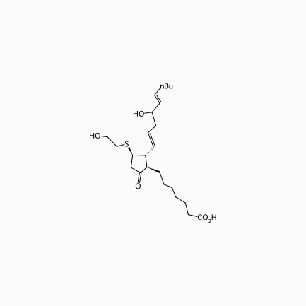 CCCC/C=C/C(O)C/C=C/[C@H]1[C@H](SCCO)CC(=O)[C@@H]1CCCCCCC(=O)O